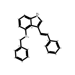 C(=Cc1c[nH]c2cccc(OCc3ccccc3)c12)c1ccccc1